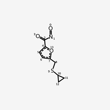 O=NC(=O)c1ccc(CSC2CC2)o1